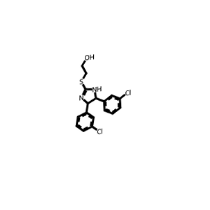 OCCSC1=NC(c2cccc(Cl)c2)C(c2cccc(Cl)c2)N1